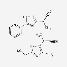 CC(C#N)c1c[nH]c(-c2ccccc2)n1.CCc1nc(C)c(C(C)C#N)[nH]1